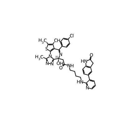 Cc1sc2c(c1C)C(c1ccc(Cl)cc1)=N[C@](O)(CC(=O)NCCCCNc1ncccc1-c1ccc3c(c1)CC(=O)N3)c1nnc(C)n1-2